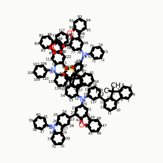 CC1(C)c2ccccc2-c2cccc(-c3cccc(N(c4cc(-c5ccc6c(c5)c5ccccc5n6-c5ccccc5)c5oc6ccccc6c5c4)c4cccc5c4-c4ccccc4C54c5ccc(N(c6ccccc6)c6cc(-c7ccc8ccccc8c7)c7oc8ccccc8c7c6)cc5Sc5c(N(c6ccccc6)c6cc7oc8ccccc8c7cc6-c6cc7ccccc7s6)cccc54)c3)c21